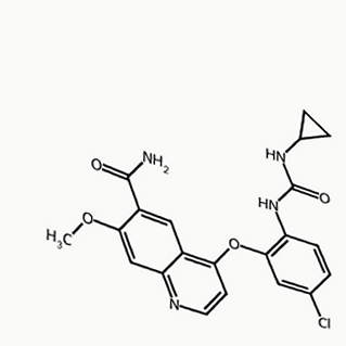 COc1cc2nccc(Oc3cc(Cl)ccc3NC(=O)NC3CC3)c2cc1C(N)=O